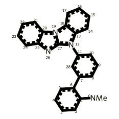 CNc1ccccc1-c1cccc(-n2c3ccccc3n3c4ccccc4nc23)c1